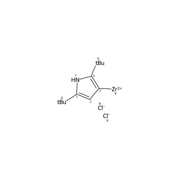 CC(C)(C)c1c[c]([Zr+2])c(C(C)(C)C)[nH]1.[Cl-].[Cl-]